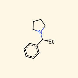 CC[C@@H](c1ccccc1)N1CCCC1